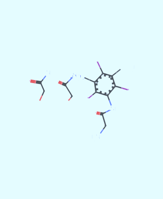 NC(=O)CO.NC(=O)CO.NCC(=O)Nc1c(I)c(C(=O)O)c(I)c(C(=O)O)c1I